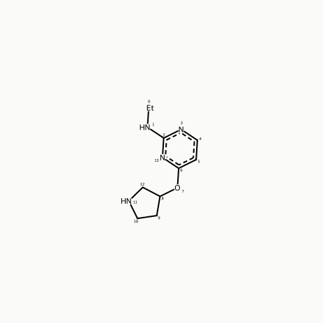 CCNc1nccc(OC2CCNC2)n1